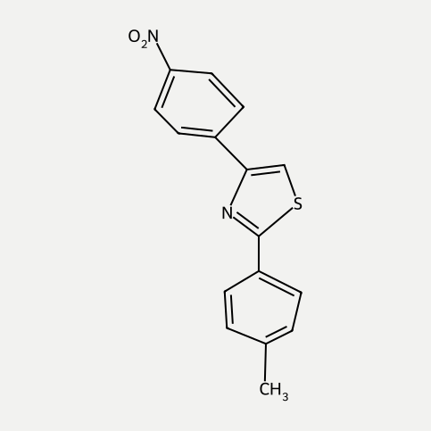 Cc1ccc(-c2nc(-c3ccc([N+](=O)[O-])cc3)cs2)cc1